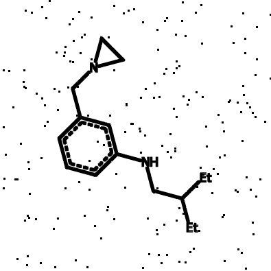 CCC(CC)CNc1cccc(CN2CC2)c1